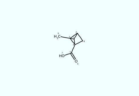 CC1C2CC1(C(=O)O)C2